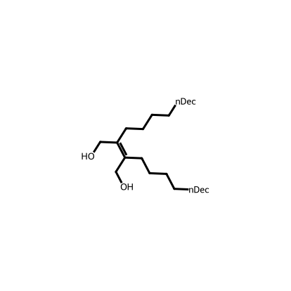 CCCCCCCCCCCCCCC(CO)=C(CO)CCCCCCCCCCCCCC